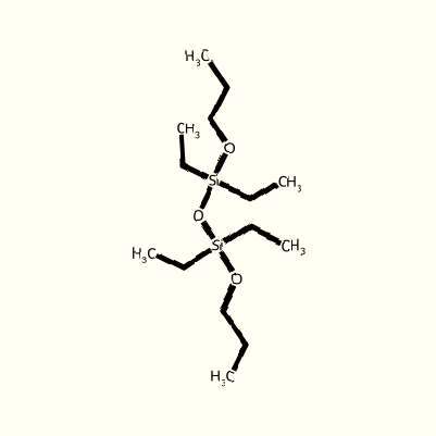 CCCO[Si](CC)(CC)O[Si](CC)(CC)OCCC